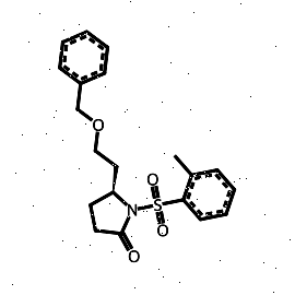 Cc1ccccc1S(=O)(=O)N1C(=O)CC[C@H]1CCOCc1ccccc1